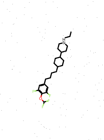 CCC[SiH]1CCC(C2CCC(CCCCc3cc(F)c(OC(F)F)c(F)c3)CC2)CC1